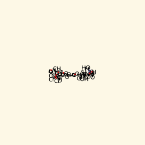 CN(c1ccccc1)c1ccc2c(c1)Oc1cc(OC(=O)OCc3ccc(OCC4=C(C(=O)O)N5C(=O)[C@@H](NC(=O)[C@H]6/C(=C/CO)O[C@@H]7CC(=O)N76)[C@H]5SC4)cc3)ccc1C21OC(=O)c2c(Cl)c(Cl)c(Cl)c(Cl)c21